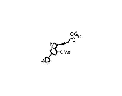 COc1cc(-c2cnn(C)c2)cn2ncc(C#CCCNS(C)(=O)=O)c12